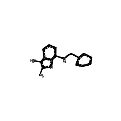 Cc1nc2c(NCc3ccccc3)cccn2c1N